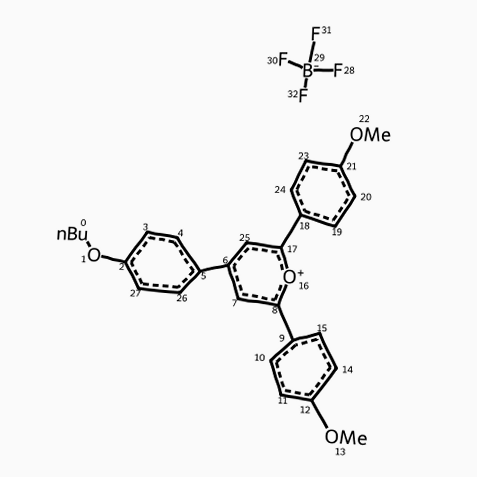 CCCCOc1ccc(-c2cc(-c3ccc(OC)cc3)[o+]c(-c3ccc(OC)cc3)c2)cc1.F[B-](F)(F)F